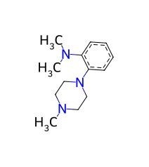 CN1CCN(c2ccccc2N(C)C)CC1